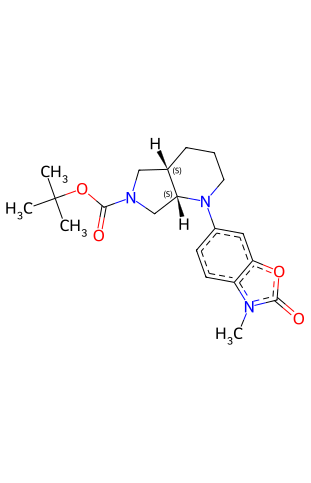 Cn1c(=O)oc2cc(N3CCC[C@H]4CN(C(=O)OC(C)(C)C)C[C@H]43)ccc21